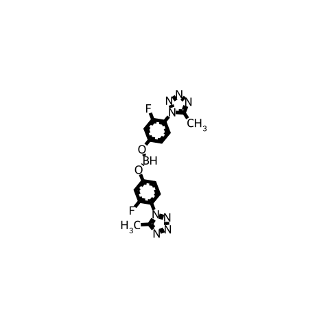 Cc1nnnn1-c1ccc(OBOc2ccc(-n3nnnc3C)c(F)c2)cc1F